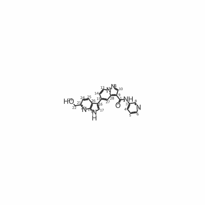 O=C(Nc1cccnc1)c1cnn2ccc(-c3c[nH]c4nc(CO)ccc34)cc12